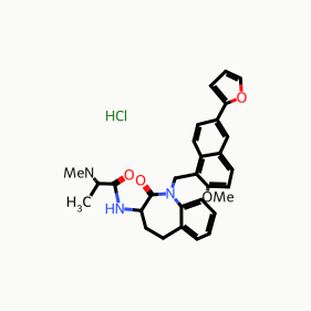 CNC(C)C(=O)NC1CCc2ccccc2N(Cc2c(OC)ccc3cc(-c4ccco4)ccc23)C1=O.Cl